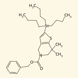 CCC[CH2][Sn]([CH2]CCC)([CH2]CCC)[c]1cc2c(s1)C(C)(C)CN(C(=O)OCc1ccccc1)C2